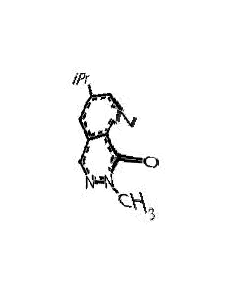 CC(C)c1cnc2c(=O)n(C)ncc2c1